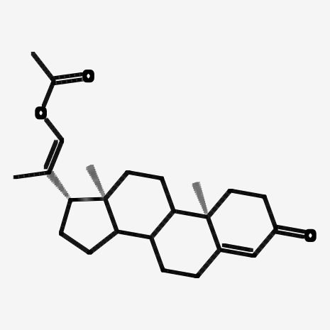 CC(=O)OC=C(C)[C@H]1CCC2C3CCC4=CC(=O)CC[C@]4(C)C3CC[C@@]21C